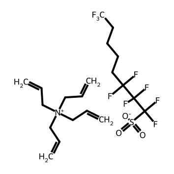 C=CC[N+](CC=C)(CC=C)CC=C.O=S(=O)([O-])C(F)(F)C(F)(F)C(F)(F)CCCCC(F)(F)F